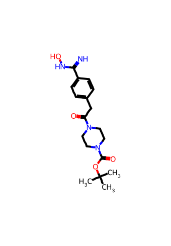 CC(C)(C)OC(=O)N1CCN(C(=O)Cc2ccc(C(=N)NO)cc2)CC1